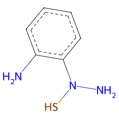 Nc1ccccc1N(N)S